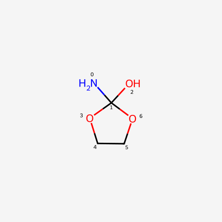 NC1(O)OCCO1